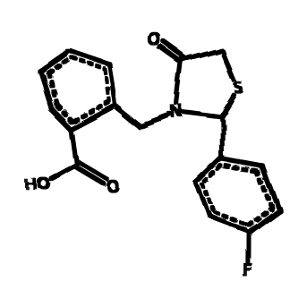 O=C(O)c1ccccc1CN1C(=O)CSC1c1ccc(F)cc1